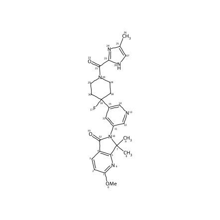 COc1ccc2c(n1)C(C)(C)N(c1cncc(C3(F)CCN(C(=O)c4nc(C)c[nH]4)CC3)c1)C2=O